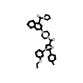 CCOc1cccc(-n2cc(C(=O)N3CCN(c4cc(C(=O)N5CCCC5)c5ccccc5c4)CC3)nc2-c2ccc(C)cc2)c1